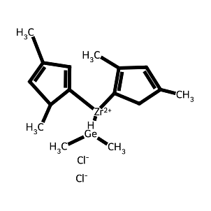 CC1=CC(C)[C]([Zr+2]([C]2=C(C)C=C(C)C2)[GeH]([CH3])[CH3])=C1.[Cl-].[Cl-]